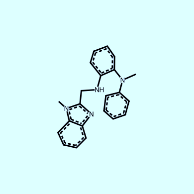 CN(c1ccccc1)c1ccccc1NCc1nc2ccccc2n1C